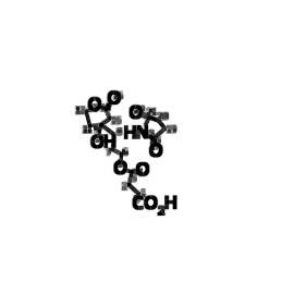 O=C(O)CCC(=O)OCCCC1(O)CCOC(=O)C1.O=C1CCC(=O)N1